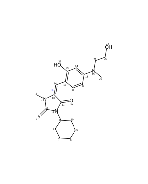 CN1C(=S)N(C2CCCCC2)C(=O)/C1=C\c1ccc(N(C)CCO)cc1O